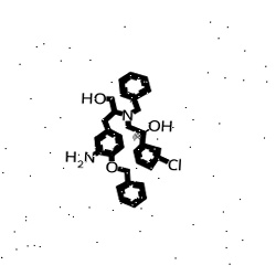 Nc1cc(CC(CO)N(Cc2ccccc2)C[C@H](O)c2cccc(Cl)c2)ccc1OCc1ccccc1